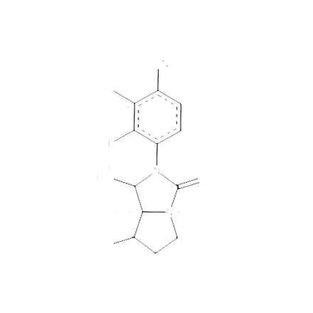 N#Cc1ccc(N2C(=O)N3CCC(O)[C@H]3C2C(F)(F)F)c(F)c1Cl